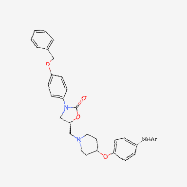 CC(=O)Nc1ccc(OC2CCN(C[C@H]3CN(c4ccc(OCc5ccccc5)cc4)C(=O)O3)CC2)cc1